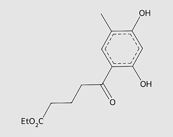 CCOC(=O)CCCC(=O)c1cc(C)c(O)cc1O